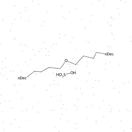 CCCCCCCCCCCCCCOCCCCCCCCCCCCCC.O=S(=O)(O)O